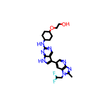 Cc1nc2ncc(-c3c[nH]c4nc(NC5CCC(OCCO)CC5)ncc34)cc2n1CC(F)F